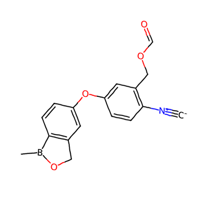 [C-]#[N+]c1ccc(Oc2ccc3c(c2)COB3C)cc1COC=O